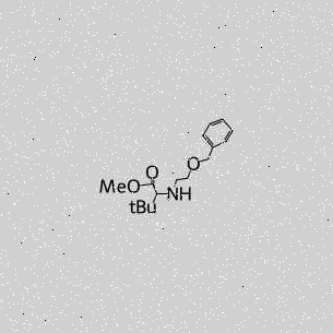 COC(=O)C(NCCOCc1ccccc1)C(C)(C)C